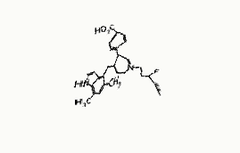 Cc1cc(C)c2[nH]ccc2c1CC1CCN(CCC(F)F)CC1c1ccc(C(=O)O)cc1